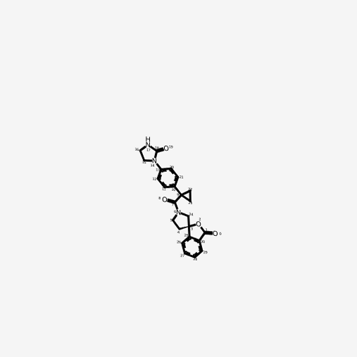 O=C1O[C@]2(CCN(C(=O)C3(c4ccc(N5CCNC5=O)cc4)CC3)C2)c2ccccc21